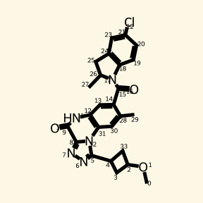 COC1CC(c2nnc3c(=O)[nH]c4cc(C(=O)N5c6ccc(Cl)cc6CC5C)c(C)cc4n23)C1